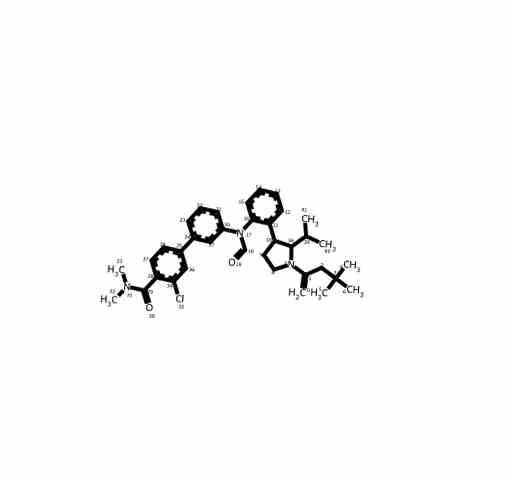 C=C(CC(C)(C)C)N1CCC(c2ccccc2N(C=O)c2cccc(-c3ccc(C(=O)N(C)C)c(Cl)c3)c2)C1C(C)C